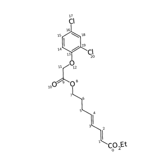 CCOC(=O)C=CC=CCCCOC(=O)COc1ccc(Cl)cc1Cl